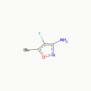 CC(C)(C)c1onc(N)c1F